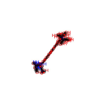 CC(C)[C@H](NC(=O)[C@H](CC(=O)NCCOCCOCCOCCOCCOCCOCCOCCOCCOCCOCCOCCOCCC(=O)N(CCN(C[C@H](O)[C@@H](O)[C@H](O)[C@H](O)CO)C[C@H](O)[C@@H](O)[C@H](O)[C@H](O)CO)CCN(C[C@H](O)[C@@H](O)[C@H](O)[C@H](O)CO)C[C@H](O)[C@@H](O)[C@H](O)[C@H](O)CO)NC(=O)CCCCCN1C(=O)C=CC1O)C(=O)N[C@@H](CCCNC(N)=O)C(=O)Nc1ccc(CO)cc1